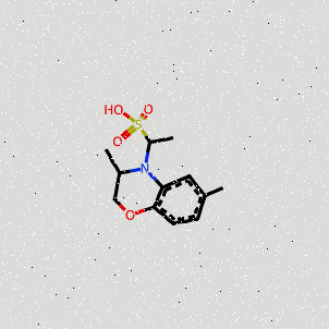 Cc1ccc2c(c1)N(C(C)S(=O)(=O)O)C(C)CO2